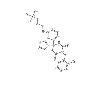 O=C1CC(c2ccsc2)(c2cccc(OCCCC(F)(F)F)n2)NC(=O)C1Sc1ccccc1Cl